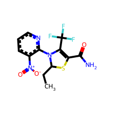 CCC1SC(C(N)=O)=C(C(F)(F)F)N1c1ncccc1[N+](=O)[O-]